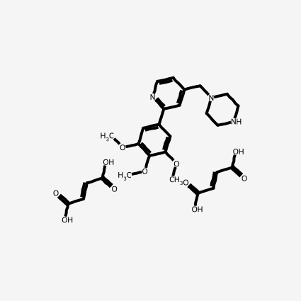 COc1cc(-c2cc(CN3CCNCC3)ccn2)cc(OC)c1OC.O=C(O)C=CC(=O)O.O=C(O)C=CC(=O)O